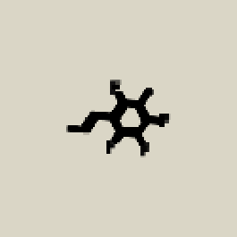 C/C=C/c1c(F)c(C)c(F)c(F)c1F